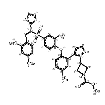 COc1ccc(CN(c2ncns2)S(=O)(=O)c2ccc(Oc3ccc(C(F)(F)F)cc3-c3ccnn3C3CN(C(=O)OC(C)(C)C)C3)c(C#N)c2)c(OC)c1